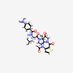 CC(=O)Nc1ccsc1C(=O)N1CC(=O)[C@@H]2C1CCN2C(=O)[C@H](CC(C)C)NC(=O)c1ccc(N(C)C)cc1